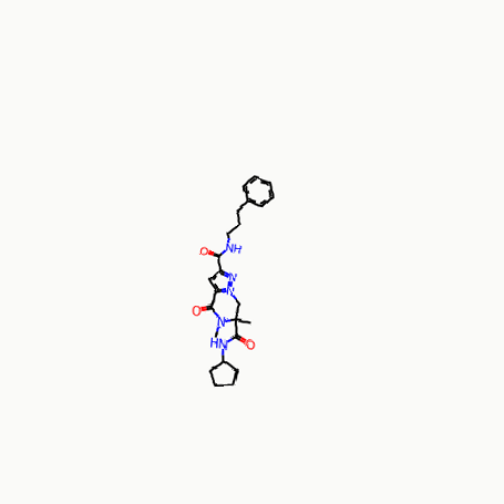 CN1C(=O)c2cc(C(=O)NCCCc3ccccc3)nn2CC1(C)C(=O)NC1CCCC1